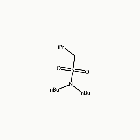 CCCCN(CCCC)S(=O)(=O)CC(C)C